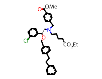 CCOC(=O)CCCCN(Cc1ccc(C(=O)OC)cc1)C[C@H](OCc1ccc(CCc2ccccc2)cc1)c1cccc(Cl)c1